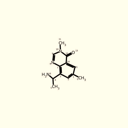 Cc1cc(C(C)N)c2ncn(C)c(=O)c2c1